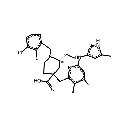 CC[C@@H]1C[C@](Cc2nc(Nc3cc(C)[nH]n3)cc(C)c2F)(C(=O)O)CCN1Cc1cccc(Cl)c1F